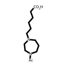 CC(=O)N1CCCN(CCCCCC(=O)O)CC1